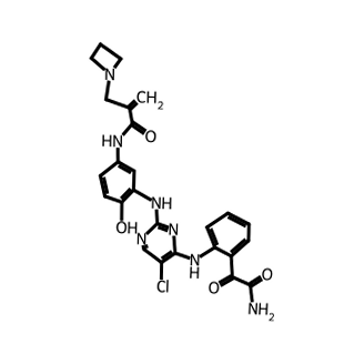 C=C(CN1CCC1)C(=O)Nc1ccc(O)c(Nc2ncc(Cl)c(Nc3ccccc3C(=O)C(N)=O)n2)c1